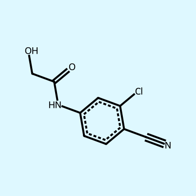 N#Cc1ccc(NC(=O)CO)cc1Cl